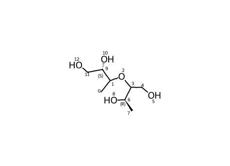 CC(OC(CO)[C@@H](C)O)[C@@H](O)CO